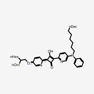 CCCCCCCCCCCCCCCCN(c1ccccc1)c1ccc(C2=C(O)/C(=C3C=C/C(=[O+]\CC(CCCCCC)CCCCCCCC)C=N\3)C2=O)nc1